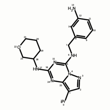 CC(C)c1cnn2c(NCc3cccc(N)c3)nc(NC3CCCOC3)nc12